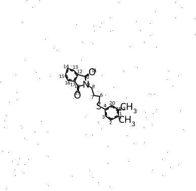 Cc1ccc(SCCCN2C(=O)c3ccccc3C2=O)cc1C